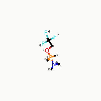 C=P(C)(OCC(F)(F)F)N(C)C